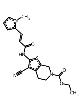 CCOC(=O)N1CCc2c(sc(NC(=O)C=Cc3cccn3C)c2C#N)C1